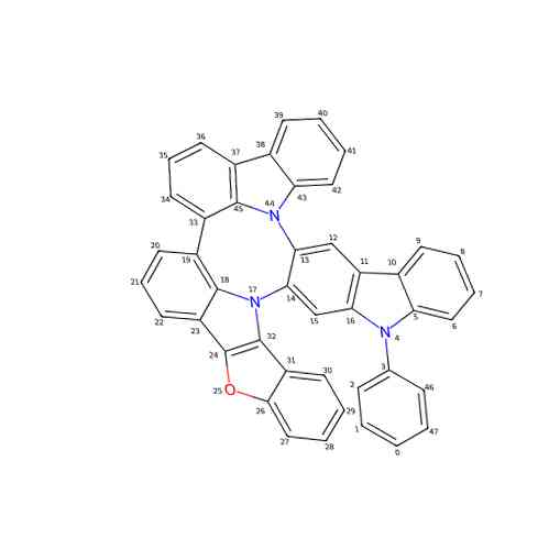 c1ccc(-n2c3ccccc3c3cc4c(cc32)n2c3c(cccc3c3oc5ccccc5c32)c2cccc3c5ccccc5n4c32)cc1